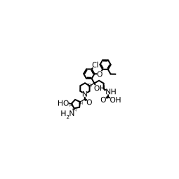 CCc1ccccc1Oc1c(Cl)cccc1C(O)(CCCNC(=O)O)[C@@H]1CCCN(C(=O)[C@H]2C[C@@H](N)[C@@H](O)C2)C1